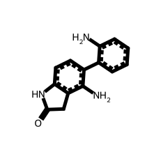 Nc1ccccc1-c1ccc2c(c1N)CC(=O)N2